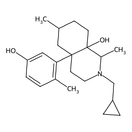 Cc1ccc(O)cc1C12CCN(CC3CC3)C(C)C1(O)CCC(C)C2